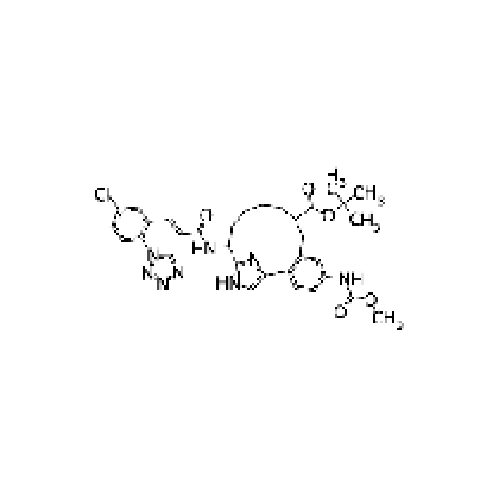 COC(=O)Nc1ccc2c(c1)CC(C(=O)OC(C)(C)C)CCCCC(NC(=O)C=Cc1cc(Cl)ccc1-n1cnnn1)c1nc-2c[nH]1